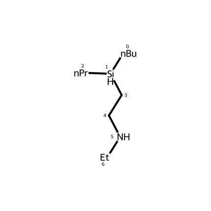 CCCC[SiH](CCC)CCNCC